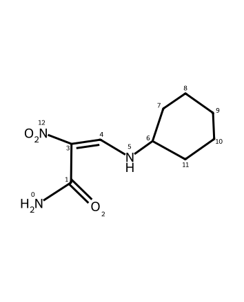 NC(=O)/C(=C\NC1CCCCC1)[N+](=O)[O-]